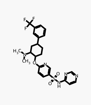 CN(C)C1CC(c2cccc(C(F)(F)F)c2)CCC1Oc1ccc(S(=O)(=O)Nc2ccncn2)cn1